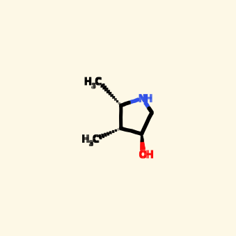 C[C@H]1[C@H](O)CN[C@H]1C